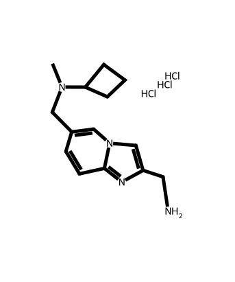 CN(Cc1ccc2nc(CN)cn2c1)C1CCC1.Cl.Cl.Cl